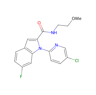 COCCNC(=O)c1cc2ccc(F)cc2n1-c1ccc(Cl)cn1